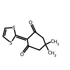 CC1(C)CC(=O)C(=C2SC=CS2)C(=O)C1